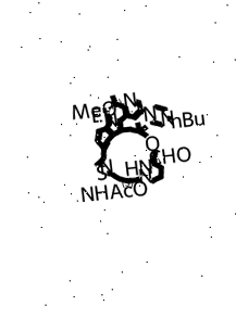 CCCCN1CCN(c2cnc([C@H](C)OC)c(-c3c4c5cc(ccc5n3CC)-c3csc(n3)C[C@H](NC(C)=O)C(=O)N3CCC[C@](C=O)(COCC(C)(C)C4)N3)c2)CC1